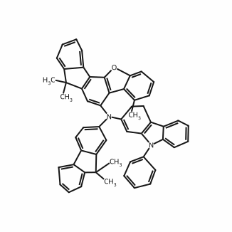 Cc1cccc2oc3c4c(cc(N(C5=Cc6c(c7ccccc7n6-c6ccccc6)CC5)c5ccc6c(c5)C(C)(C)c5ccccc5-6)c3c12)C(C)(C)c1ccccc1-4